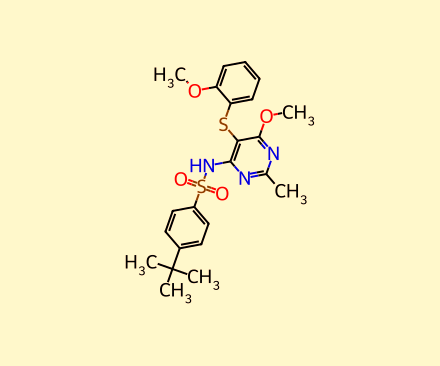 COc1ccccc1Sc1c(NS(=O)(=O)c2ccc(C(C)(C)C)cc2)nc(C)nc1OC